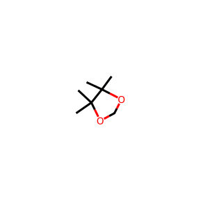 CC1(C)OCOC1(C)C